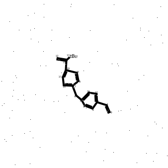 C=Cc1ccc(Cc2ccc(C(=C)C(C)(C)C)cc2)cc1